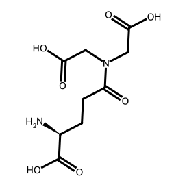 N[C@@H](CCC(=O)N(CC(=O)O)CC(=O)O)C(=O)O